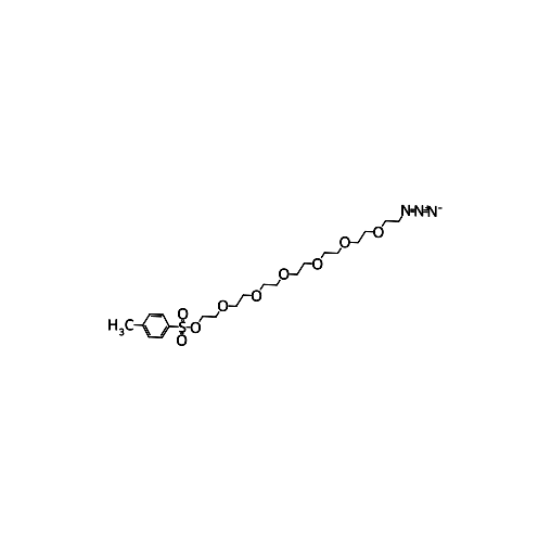 Cc1ccc(S(=O)(=O)OCCOCCOCCOCCOCCOCCOCCN=[N+]=[N-])cc1